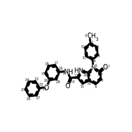 Cc1ccc(-n2c(=O)ccc3cc(C(=O)Nc4cccc(Oc5ccccc5)c4)[nH]c32)cc1